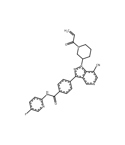 C=CC(=O)N1CCCC(n2nc(-c3ccc(C(=O)Nc4ccc(F)cn4)cc3)c3cncc(C#N)c32)C1